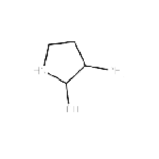 PC1CCNC1P